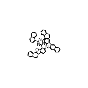 c1ccc2cc3c(cc2c1)c1ccccc1n3-c1ccc2c(oc3c4ccccc4ccc23)c1-c1nc(-c2cccc3ccccc23)nc(-c2cccc3ccccc23)n1